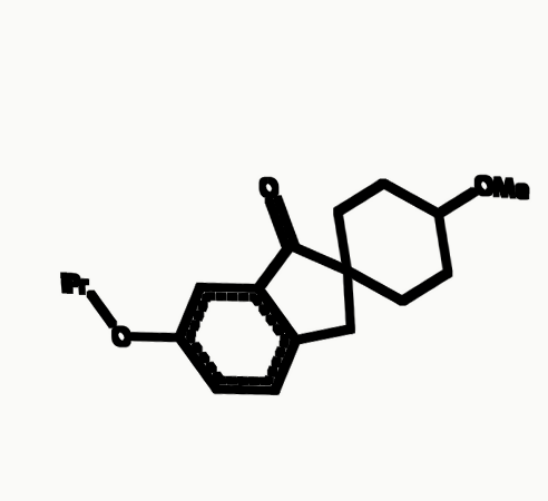 COC1CCC2(CC1)Cc1ccc(OC(C)C)cc1C2=O